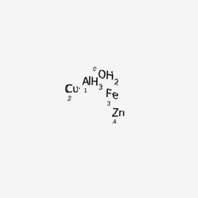 O.[AlH3].[Cu].[Fe].[Zn]